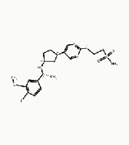 COc1cc([C@@H](C)N[C@H]2CC[C@@H](c3cnc(NCCS(N)(=O)=O)nc3)C2)ccc1F